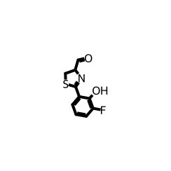 O=CC1CSC(c2cccc(F)c2O)=N1